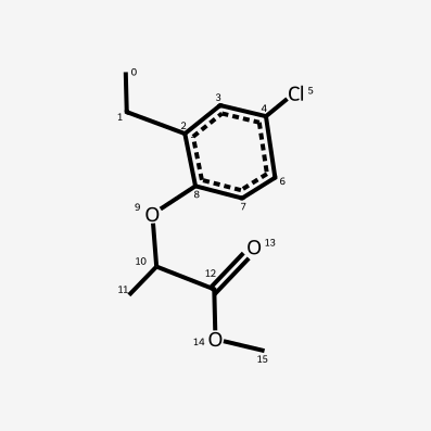 CCc1cc(Cl)ccc1OC(C)C(=O)OC